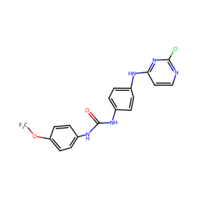 O=C(Nc1ccc(Nc2ccnc(Cl)n2)cc1)Nc1ccc(OC(F)(F)F)cc1